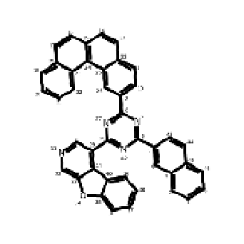 c1ccc2cc(-c3nc(-c4ccc5ccc6ccc7ccccc7c6c5c4)nc(-c4cncc5oc6ccccc6c45)n3)ccc2c1